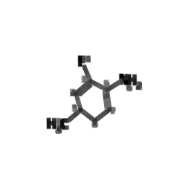 CC1C=C(F)C(N)=CC1